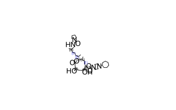 C/C(=C\C=C\[C@@H](C)CNC(=O)N1CCCC1)[C@H]1OC(=O)C[C@H](O)CC[C@@](C)(O)[C@@H](OC(=O)N2CCN(C3CCCCCC3)CC2)/C=C/[C@@H]1C